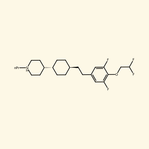 CCC[SiH]1CCC([C@H]2CC[C@H](CCc3cc(F)c(OCC(F)F)c(F)c3)CC2)CC1